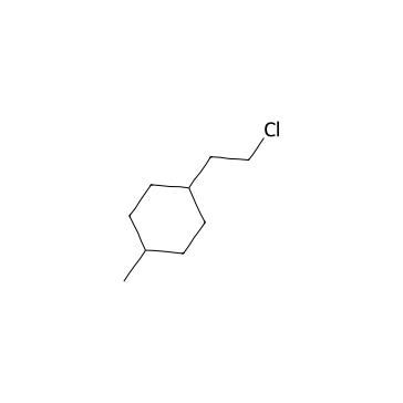 CC1CCC(CCCl)CC1